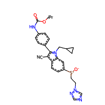 CC(C)OC(=O)Nc1ccc(-c2c(C#N)c3ccc([S+]([O-])CCn4cncn4)cc3n2CC2CC2)cc1